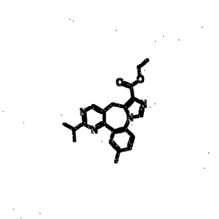 CCOC(=O)c1ncn2c1Cc1cnc(C(C)C)nc1-c1cc(C)ccc1-2